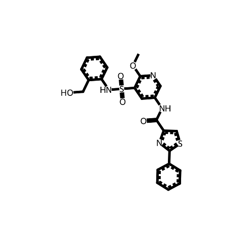 COc1ncc(NC(=O)c2csc(-c3ccccc3)n2)cc1S(=O)(=O)Nc1ccccc1CO